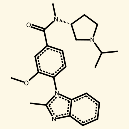 COc1cc(C(=O)N(C)[C@@H]2CCN(C(C)C)C2)ccc1-n1c(C)nc2ccccc21